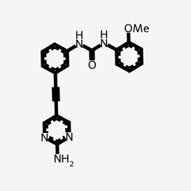 COc1ccccc1NC(=O)Nc1cccc(C#Cc2cnc(N)nc2)c1